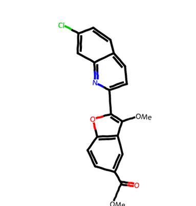 COC(=O)c1ccc2oc(-c3ccc4ccc(Cl)cc4n3)c(OC)c2c1